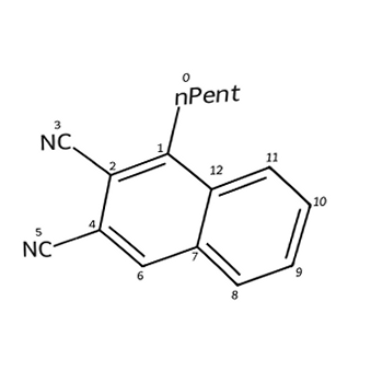 CCCCCc1c(C#N)c(C#N)cc2ccccc12